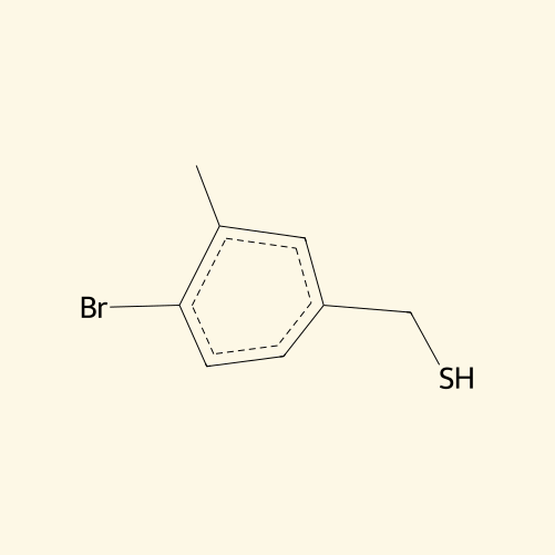 Cc1cc(CS)ccc1Br